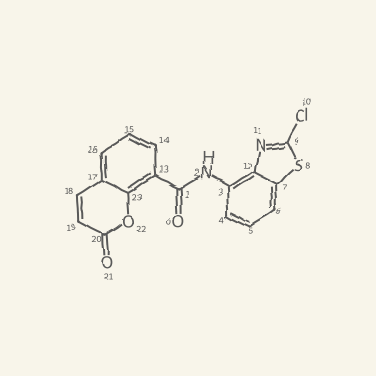 O=C(Nc1cccc2sc(Cl)nc12)c1cccc2ccc(=O)oc12